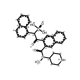 CN(C(=O)c1cc2ccccc2cc1C(=O)C(c1cccc2ccccc12)P(=O)(O)O)C1CCNCC1